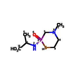 CC(N[P@]1(=O)CN(C)CCS1)C(=O)O